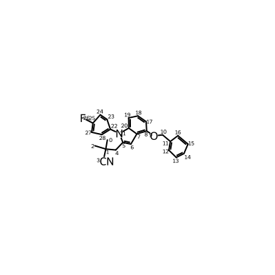 CC(C)(C#N)Cc1cc2c(OCc3ccccc3)cccc2n1-c1ccc(F)cc1